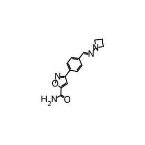 NC(=O)c1cc(-c2ccc(C=NN3CCC3)cc2)no1